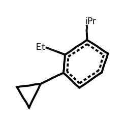 [CH2]C(C)c1cccc(C2CC2)c1CC